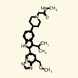 CNC(=O)CN1CCC(c2ccc3[nH]c(-c4cc(COC)c5ncnn5c4)c(C(C)C)c3c2)CC1